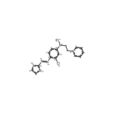 CCN(CC[n+]1ccccc1)c1ccc(N=Nc2nccs2)c(Cl)c1